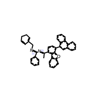 C/C(=N\C(=N/CC1=CCCC=C1)c1ccccc1)c1ccc(-c2cc3ccccc3c3ccccc23)c2oc3ccccc3c12